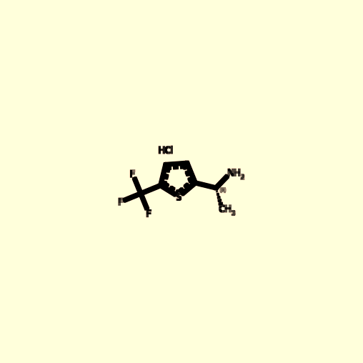 C[C@@H](N)c1ccc(C(F)(F)F)s1.Cl